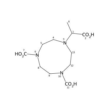 CC(C(=O)O)N1CCN(C(=O)O)CCN(C(=O)O)CC1